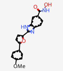 COc1ccc(-c2ccc(-c3nc4ccc(C(=O)NO)cc4[nH]3)o2)cc1